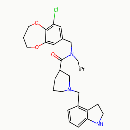 CC(C)CN(Cc1cc(Cl)c2c(c1)OCCCO2)C(=O)C1CCCN(Cc2cccc3c2CCN3)C1